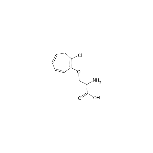 NC(COC1=C(Cl)CC=CC=C1)C(=O)O